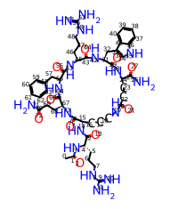 CC(=O)N[C@@H](CCCNC(=N)N)C(=O)N[C@H]1CCCNC(=O)CCC(C(N)=O)NC(=O)[C@H](Cc2c[nH]c3ccccc23)NC(=O)[C@H](CCCNC(=N)N)NC(=O)C(Cc2ccccc2)NC(=O)[C@H](CCC(N)=O)NC1=O